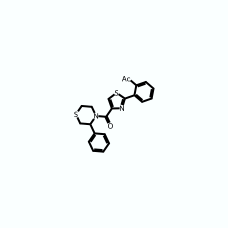 CC(=O)c1ccccc1-c1nc(C(=O)N2CCSCC2c2ccccc2)cs1